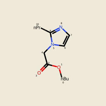 CCCCOC(=O)Cn1ccnc1CCC